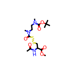 COC(=O)C(CSSC(=O)N(C)CCN(C)C(=O)OC(C)(C)C)NC(C)=O